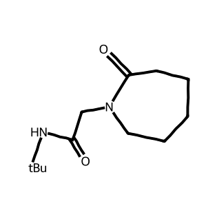 CC(C)(C)NC(=O)CN1CCCCCC1=O